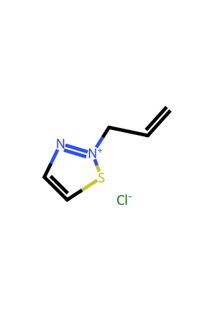 C=CC[n+]1nccs1.[Cl-]